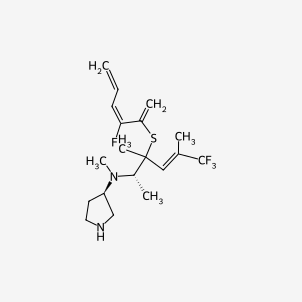 C=C/C=C(/F)C(=C)SC(C)(/C=C(\C)C(F)(F)F)[C@H](C)N(C)[C@@H]1CCNC1